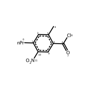 CCCc1cc(C)c(C(=O)Cl)cc1[N+](=O)[O-]